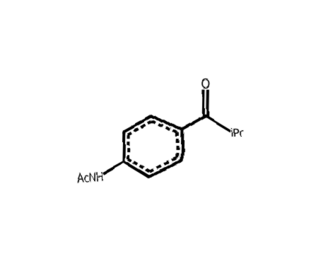 CC(=O)Nc1ccc(C(=O)C(C)C)cc1